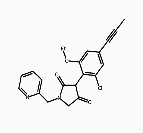 CC#Cc1cc(Cl)c(C2C(=O)CN(Cc3ccccn3)C2=O)c(OCC)c1